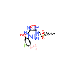 Bc1cc(N/C(=N\O)c2nonc2NCCS(=O)(=O)NC)ccc1F